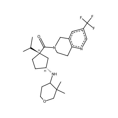 CC(C)[C@]1(C(=O)N2CCc3ncc(C(F)(F)F)cc3C2)CC[C@@H](NC2CCOCC2(C)C)C1